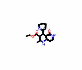 CCOC(=O)C1=C(C)Nc2cc[nH]c(=O)c2C1c1ccccn1